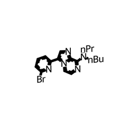 CCCCN(CCC)c1nccn2c(-c3cccc(Br)n3)cnc12